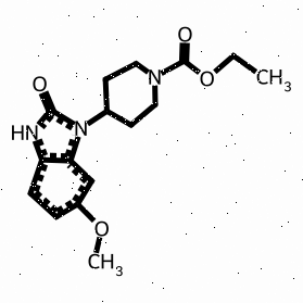 CCOC(=O)N1CCC(n2c(=O)[nH]c3ccc(OC)cc32)CC1